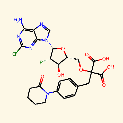 Nc1nc(Cl)nc2c1ncn2[C@@H]1O[C@H](COC(Cc2ccc(N3CCCCC3=O)cc2)(C(=O)O)C(=O)O)[C@@H](O)[C@@H]1F